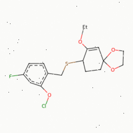 CCOC1=CC2(CCC1SCc1ccc(F)cc1OCl)OCCO2